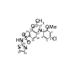 COc1cc(Cl)ccc1N1CC(C)Oc2cc(S(=O)(=O)Nc3nccs3)ccc21